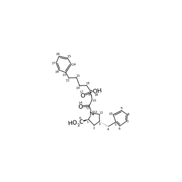 O=C(O)[C@@H]1C[C@@H](Cc2ccccc2)CN1C(=O)CP(=O)(O)CCCCc1ccccc1